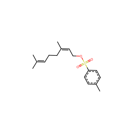 CC(C)=CCCC(C)=CCOS(=O)(=O)c1ccc(C)cc1